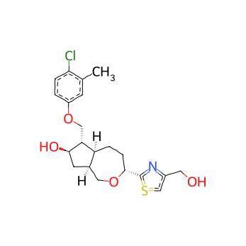 Cc1cc(OC[C@@H]2[C@H]3CC[C@H](c4nc(CO)cs4)OC[C@H]3C[C@H]2O)ccc1Cl